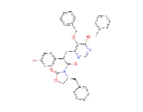 O=C1OC[C@H](Cc2ccccc2)N1C(=O)C(Cc1ncnc(OCc2ccccc2)c1OCc1ccccc1)c1ccc(I)cc1